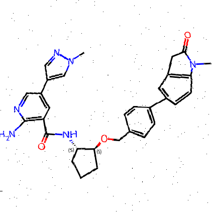 CN1C(=O)Cc2cc(-c3ccc(CO[C@H]4CCC[C@@H]4NC(=O)c4cc(-c5cnn(C)c5)cnc4N)cc3)ccc21